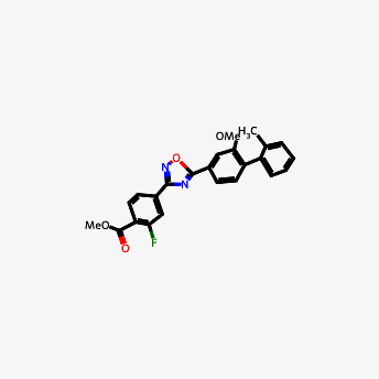 COC(=O)c1ccc(-c2noc(-c3ccc(-c4ccccc4C)c(OC)c3)n2)cc1F